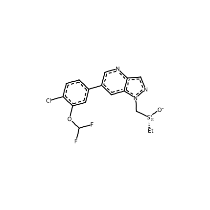 CC[S@@+]([O-])Cn1ncc2ncc(-c3ccc(Cl)c(OC(F)F)c3)cc21